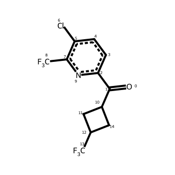 O=C(c1ccc(Cl)c(C(F)(F)F)n1)C1CC(C(F)(F)F)C1